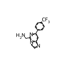 NCc1nc(-c2ccc(C(F)(F)F)cc2)cc2nccn12